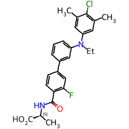 CCN(c1cccc(-c2ccc(C(=O)N[C@@H](C)C(=O)O)c(F)c2)c1)c1cc(C)c(Cl)c(C)c1